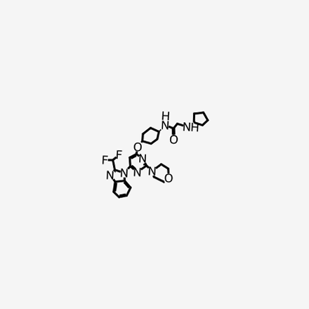 O=C(CNC1CCCC1)N[C@H]1CC[C@H](Oc2cc(-n3c(C(F)F)nc4ccccc43)nc(N3CCOCC3)n2)CC1